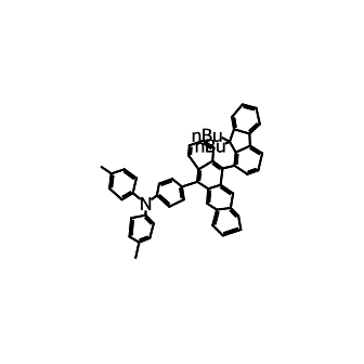 CCCCC1(CCCC)c2ccccc2-c2cccc(-c3c4ccccc4c(-c4ccc(N(c5ccc(C)cc5)c5ccc(C)cc5)cc4)c4cc5ccccc5cc34)c21